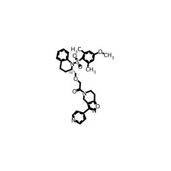 COc1cc(C)c(S(=O)(=O)N2c3ccccc3CC[C@H]2COCC(=O)N2CCc3onc(-c4ccncc4)c3C2)c(C)c1